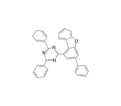 C1=CC(c2nc(-c3ccccc3)nc(-c3cc(-c4ccccc4)cc4oc5ccccc5c34)n2)=CCC1